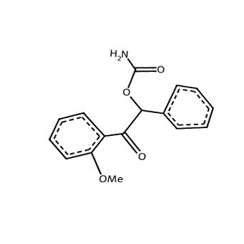 COc1ccccc1C(=O)C(OC(N)=O)c1ccccc1